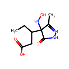 CCC(CC(=O)O)C1(NO)C(=O)NN=C1C